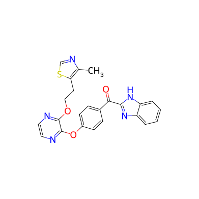 Cc1ncsc1CCOc1nccnc1Oc1ccc(C(=O)c2nc3ccccc3[nH]2)cc1